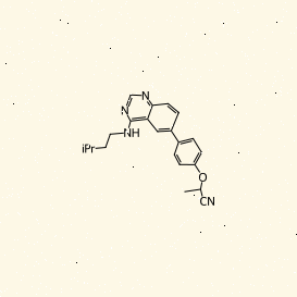 CC(C)CCNc1ncnc2ccc(-c3ccc(OC(C)C#N)cc3)cc12